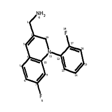 NCC1=Cc2ccc(F)cc2N(c2ccccc2F)C1